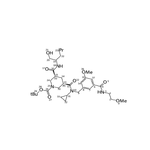 COCCNC(=O)c1cc(CN(C(=O)[C@@H]2C[C@H](C(=O)NC(CO)CC(C)C)CN(C(=O)OC(C)(C)C)C2)C2CC2)cc(OC)c1